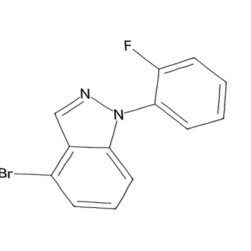 Fc1ccccc1-n1ncc2c(Br)cccc21